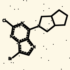 Clc1nc(N2CC3CCCC3C2)c2ncc(Br)n2n1